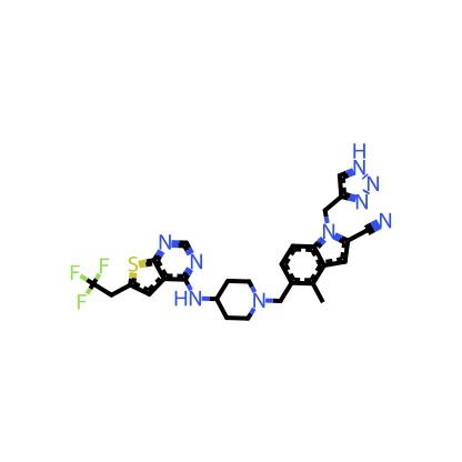 Cc1c(CN2CCC(Nc3ncnc4sc(CC(F)(F)F)cc34)CC2)ccc2c1cc(C#N)n2Cc1c[nH]nn1